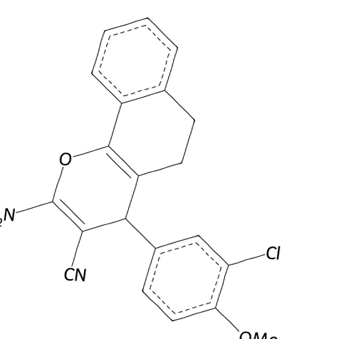 COc1ccc(C2C(C#N)=C(N)OC3=C2CCc2ccccc23)cc1Cl